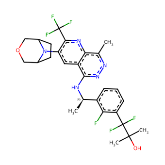 Cc1nnc(N[C@H](C)c2cccc(C(F)(F)C(C)(C)O)c2F)c2cc(N3C4CCC3COC4)c(C(F)(F)F)nc12